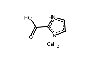 O=C(O)c1ncc[nH]1.[CaH2]